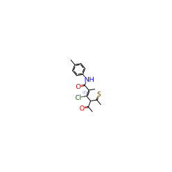 CC(=O)C(C(C)=S)/C(Cl)=C(\C)C(=O)Nc1ccc(C)cc1